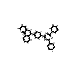 c1ccc(-c2nc(-c3ccccc3)nc(-c3ccc(-c4cc5cccnc5c5ccccc45)cc3)n2)cc1